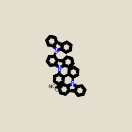 N#Cc1ccc(-n2c3ccccc3c3c(-n4c5ccccc5c5ccccc54)cccc32)c(-c2ccccc2-n2c3ccccc3c3ccc(C#N)cc32)c1